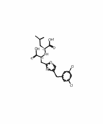 CC(C)C[C@H](N[C@@H](Cc1nc(Cc2cc(Cl)cc(Cl)c2)co1)C(=O)O)C(=O)O